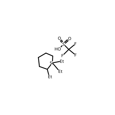 CCC1CCCC[Si]1(CC)CC.O=S(=O)(O)C(F)(F)F